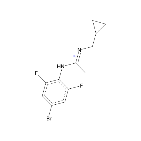 C/C(=N\CC1CC1)Nc1c(F)cc(Br)cc1F